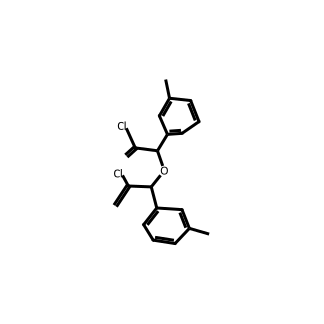 C=C(Cl)C(OC(C(=C)Cl)c1cccc(C)c1)c1cccc(C)c1